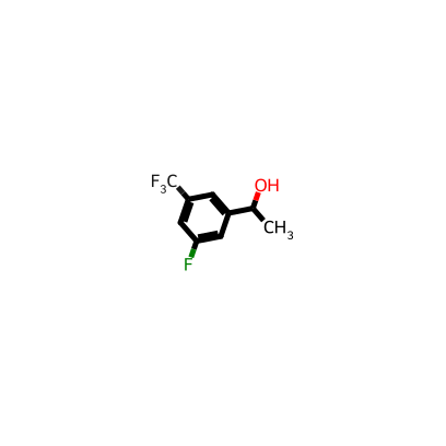 CC(O)c1cc(F)cc(C(F)(F)F)c1